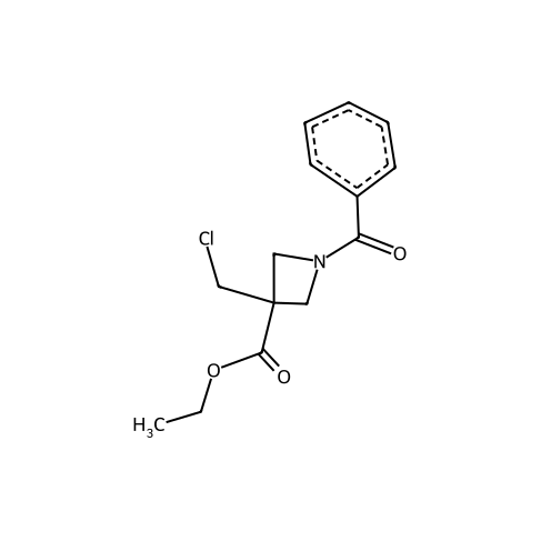 CCOC(=O)C1(CCl)CN(C(=O)c2ccccc2)C1